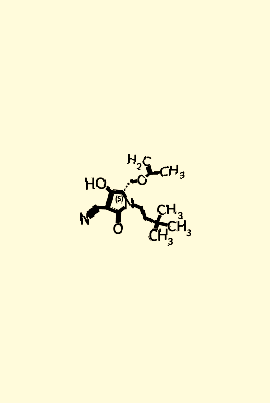 C=C(C)OC[C@H]1C(O)=C(C#N)C(=O)N1CCC(C)(C)C